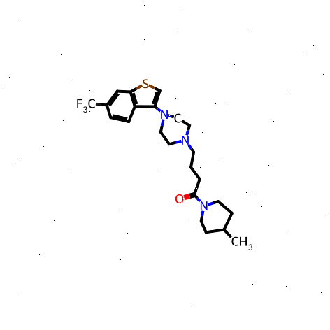 CC1CCN(C(=O)CCCN2CCN(c3csc4cc(C(F)(F)F)ccc34)CC2)CC1